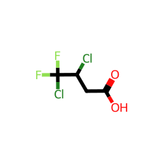 O=C(O)CC(Cl)C(F)(F)Cl